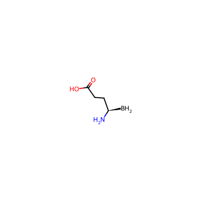 B[C@@H](N)CCC(=O)O